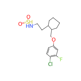 O=[SH](=O)NCCC1CCCCC1COc1ccc(Cl)c(F)c1